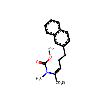 CCOC(=O)C(=CCCc1ccc2ccccc2c1)N(C)C(=O)OC(C)(C)C